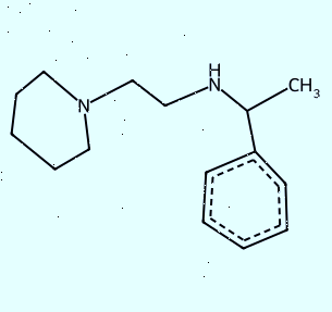 CC(NCCN1CCCCC1)c1ccccc1